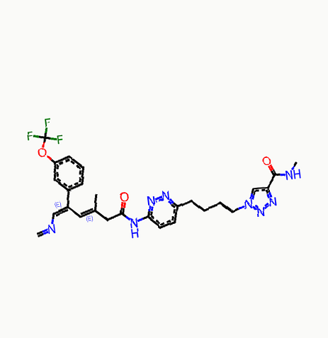 C=N/C=C(\C=C(/C)CC(=O)Nc1ccc(CCCCn2cc(C(=O)NC)nn2)nn1)c1cccc(OC(F)(F)F)c1